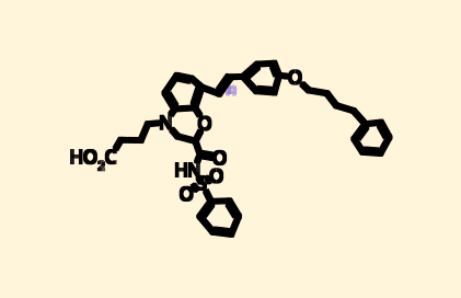 O=C(O)CCCN1CC(C(=O)NS(=O)(=O)c2ccccc2)Oc2c(/C=C/c3ccc(OCCCCc4ccccc4)cc3)cccc21